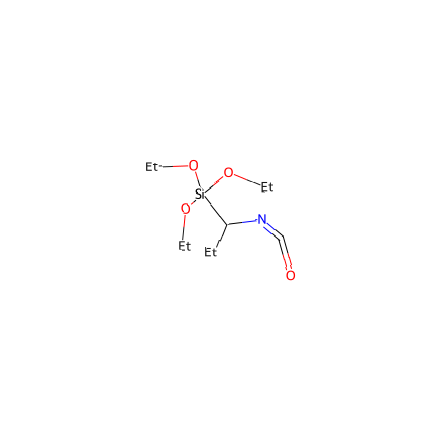 CCO[Si](OCC)(OCC)C(CC)N=C=O